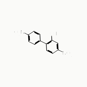 Cc1cc([N+](=O)[O-])ccc1-c1ccc([N+](=O)[O-])cc1